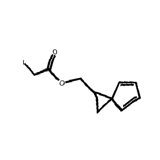 O=C(CI)OCC1CC12C=CC=C2